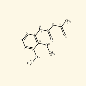 COc1cccc(NC(=O)CC(C)=O)c1OC